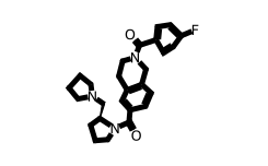 O=C(c1ccc(F)cc1)N1CCc2cc(C(=O)N3CCC[C@H]3CN3CCCC3)ccc2C1